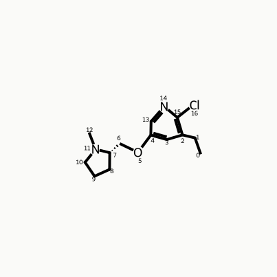 CCc1cc(OC[C@@H]2CCCN2C)cnc1Cl